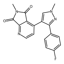 CN1C(=O)c2nccc(-c3cn(C)nc3-c3ccc(F)cc3)c2C1=O